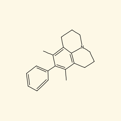 Cc1c2c3c(c(C)c1-c1ccccc1)CCCN3CCC2